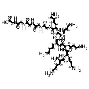 NCCCC[C@H](NC(=O)[C@H](CCCCN)NC(=O)[C@H](CCCCN)NC(=O)[C@@H](N)CCCCN)C(=O)N[C@@H](CCCCN)C(=O)N[C@H](CCCCN)C(=O)NCC(=O)NCC(=O)NCC(=O)NCC(=O)NCC(=O)O